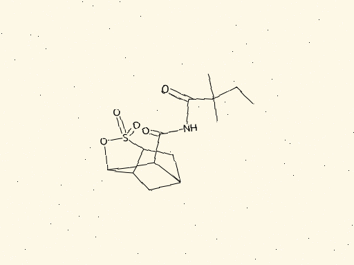 CCC(C)(C)C(=O)NC(=O)C1C2CC3C1OS(=O)(=O)C3C2